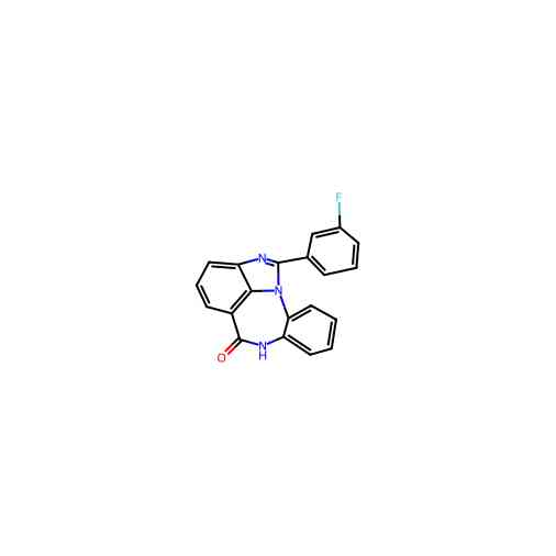 O=C1Nc2ccccc2-n2c(-c3cccc(F)c3)nc3cccc1c32